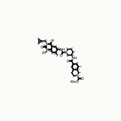 COC(=O)N1CCc2cc(C(=O)N[C@@H]3CCCN(C(=O)Nc4cc5c(=O)n(CC6CC6)c(=O)n(C(C)C)c5cc4F)C3)ccc2C1